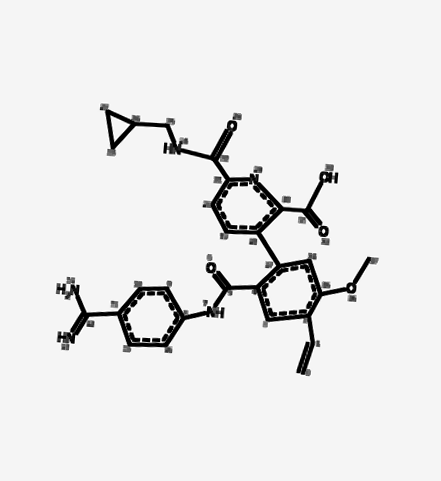 C=Cc1cc(C(=O)Nc2ccc(C(=N)N)cc2)c(-c2ccc(C(=O)NCC3CC3)nc2C(=O)O)cc1OC